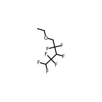 CCOCC(F)(F)C(F)C(F)(F)C(F)F